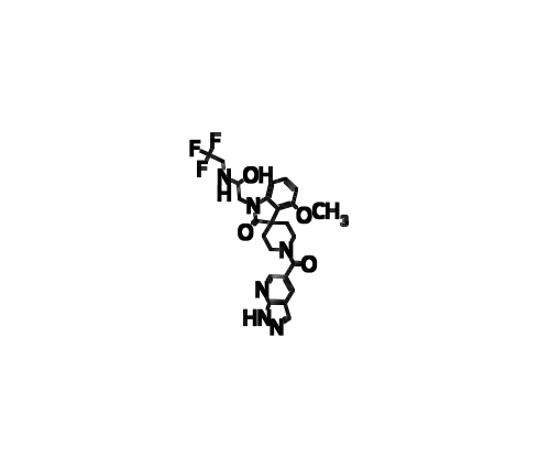 COc1cccc2c1C1(CCN(C(=O)c3cnc4[nH]ncc4c3)CC1)C(=O)N2CC(O)NCC(F)(F)F